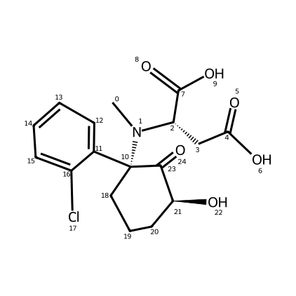 CN([C@@H](CC(=O)O)C(=O)O)[C@@]1(c2ccccc2Cl)CCC[C@H](O)C1=O